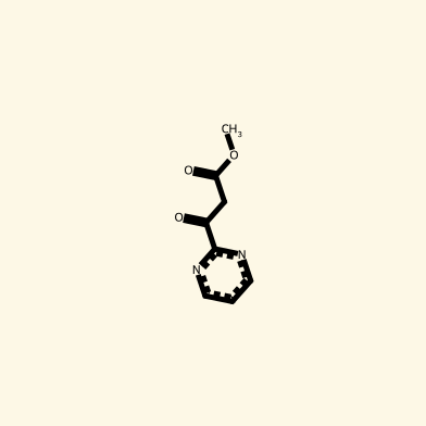 COC(=O)CC(=O)c1ncccn1